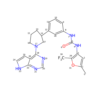 Cc1cc(NC(=O)Nc2cccc(C3CCCN(c4ncnc5[nH]ccc45)C3)c2)c(C(F)(F)F)o1